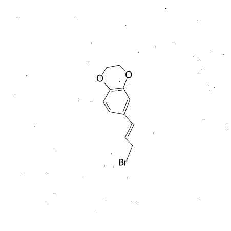 BrCC=Cc1ccc2c(c1)OCCO2